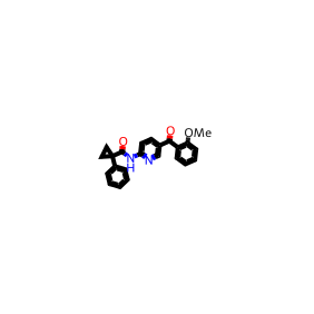 COc1ccccc1C(=O)c1ccc(NC(=O)C2(c3ccccc3)CC2)nc1